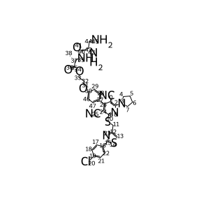 [C-]#[N+]c1c(N2CCCC2)nc(SCc2csc(-c3ccc(Cl)cc3)n2)c(C#N)c1-c1ccc(OCCOC(=O)[C@H](C)NC(=O)[C@@H](N)CN)cc1